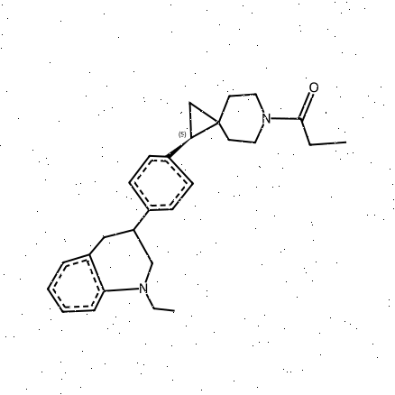 CCC(=O)N1CCC2(CC1)C[C@@H]2c1ccc(C2Cc3ccccc3N(CC)C2)cc1